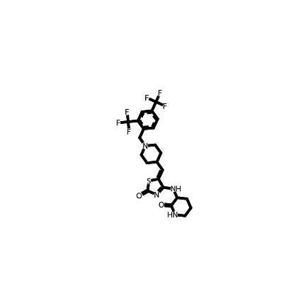 O=C1N=C(NC2CCCNC2=O)C(=CC2CCN(Cc3ccc(C(F)(F)F)cc3C(F)(F)F)CC2)S1